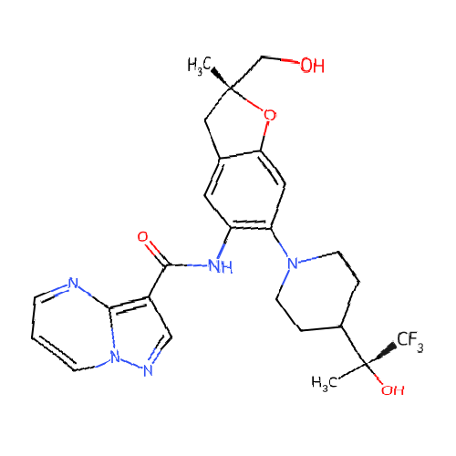 C[C@]1(CO)Cc2cc(NC(=O)c3cnn4cccnc34)c(N3CCC([C@@](C)(O)C(F)(F)F)CC3)cc2O1